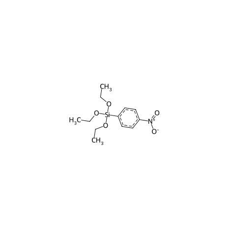 CCO[Si](OCC)(OCC)c1ccc([N+](=O)[O-])cc1